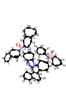 O=P(c1ccc2ccccc2c1)(c1ccc2ccccc2c1)c1ccc2c(c1)nc1c3c4ccccc4ccc3c3ccc(P(=S)(c4ccccc4)c4ccccc4)cc3n21